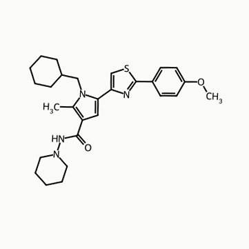 COc1ccc(-c2nc(-c3cc(C(=O)NN4CCCCC4)c(C)n3CC3CCCCC3)cs2)cc1